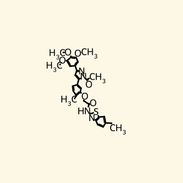 CCc1ccc2nc(NC(=O)COc3cc(-c4cc(-c5cc(OC)c(OC)c(OC)c5)nn4C(C)=O)ccc3C)sc2c1